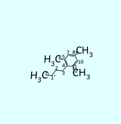 C[CH]CCc1c(C)cc(C)cc1C